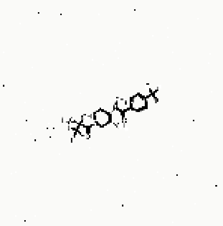 C[C@@H]1CN(C(=O)[C@@](C)(O)C(F)(F)F)CC[C@@H]1N(C)C(=O)c1ccc(C(F)(F)F)cc1